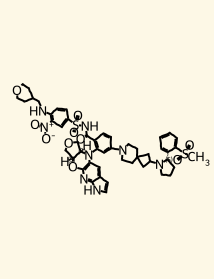 CS(=O)(=O)c1ccccc1[C@@H]1CCCN1C1CC2(CCN(c3ccc(C(=O)NS(=O)(=O)c4ccc(NCC5CCOCC5)c([N+](=O)[O-])c4)c(N4c5cc6cc[nH]c6nc5O[C@@H]5COC[C@H]54)c3)CC2)C1